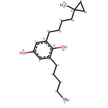 CC(C)(C)CCCCc1cc(O)cc(CCCCC2(C)CC2)c1O